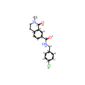 CCN1CCc2ccc(C(=O)NCc3ccc(Cl)cc3)cc2C1=O